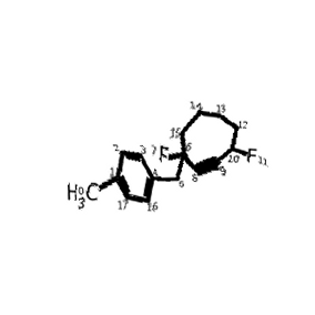 Cc1ccc(CC2(F)C#CC(F)CCCC2)cc1